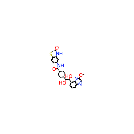 COc1cnc2cccc([C@@H](O)[C@H](O)[C@H]3CC[C@H](C(=O)Nc4ccc5c(c4)NC(=O)CS5)CC3)c2n1